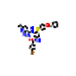 CC(C)c1ccc2c(Nc3cc(NC(=O)c4ccc(Br)cc4)ccc3Sc3ccc(OCc4ccccc4)cc3)ncnc2n1